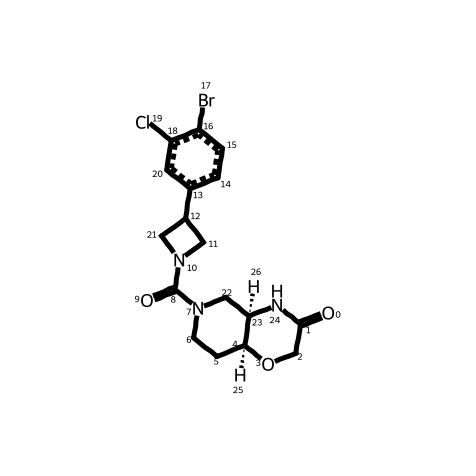 O=C1CO[C@H]2CCN(C(=O)N3CC(c4ccc(Br)c(Cl)c4)C3)C[C@H]2N1